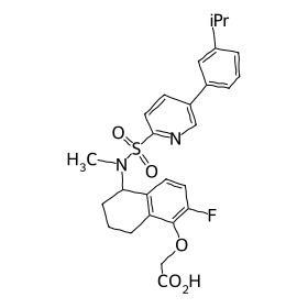 CC(C)c1cccc(-c2ccc(S(=O)(=O)N(C)C3CCCc4c3ccc(F)c4OCC(=O)O)nc2)c1